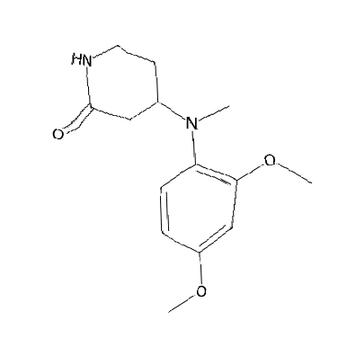 COc1ccc(N(C)C2CCNC(=O)C2)c(OC)c1